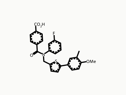 COc1ccc(-c2ccc(CN(C(=O)c3ccc(C(=O)O)cc3)c3cccc(F)c3)s2)cc1C